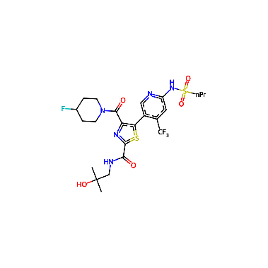 CCCS(=O)(=O)Nc1cc(C(F)(F)F)c(-c2sc(C(=O)NCC(C)(C)O)nc2C(=O)N2CCC(F)CC2)cn1